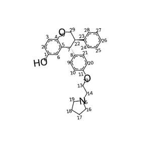 Oc1ccc2c(c1)[C@@H](c1ccc(OCCN3CCCC3)cc1)[C@H](c1ccccc1)CO2